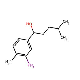 Cc1ccc(C(O)CCC(C)C)cc1P